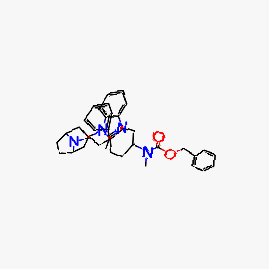 Cc1nc2ccccc2n1C1CC2CCC(C1)N2CCC1(c2ccccc2)CCC(N(C)C(=O)OCc2ccccc2)CC1